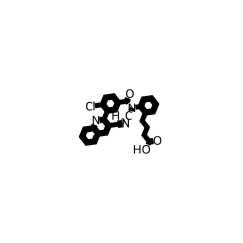 CN(C(=O)c1ccc(Cl)c(-c2nc3ccccc3cc2C#N)c1)c1ccccc1CCCC(=O)O